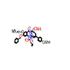 C=CCOC(=O)Nc1cc(OCc2ccccc2)c(OC)cc1C(=O)N1CC=C(c2ccc(OC)cc2)C[C@H]1CO